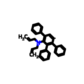 C=CCN(CC=C)c1c(-c2ccccc2)c[c]c(-c2ccccc2)c1-c1ccccc1